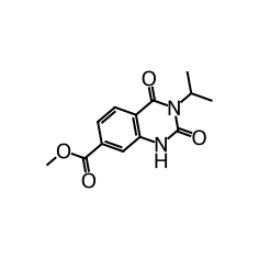 COC(=O)c1ccc2c(=O)n(C(C)C)c(=O)[nH]c2c1